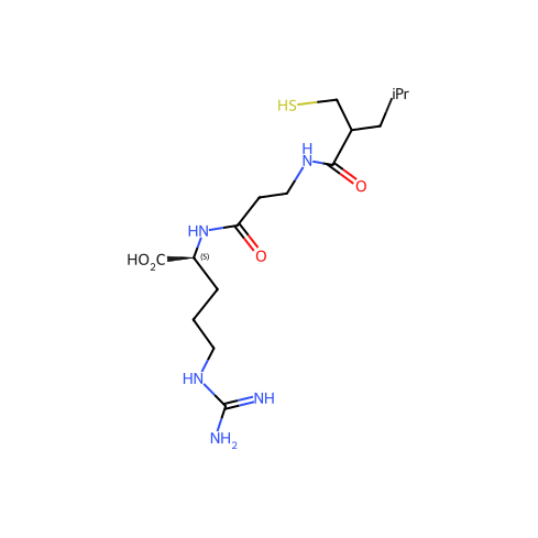 CC(C)CC(CS)C(=O)NCCC(=O)N[C@@H](CCCNC(=N)N)C(=O)O